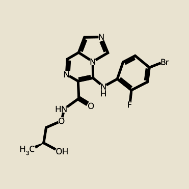 C[C@H](O)CONC(=O)c1ncc2cncn2c1Nc1ccc(Br)cc1F